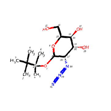 CC(C)(C)[Si](C)(C)OC1OC(CO)[C@@H](O)[C@H](O)[C@@H]1N=[N+]=[N-]